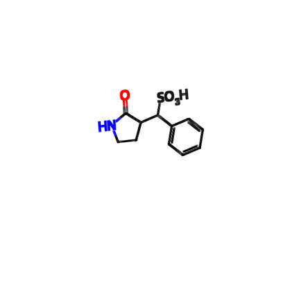 O=C1NCCC1C(c1ccccc1)S(=O)(=O)O